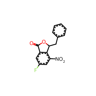 O=C1OC(Cc2ccccc2)c2c1cc(F)cc2[N+](=O)[O-]